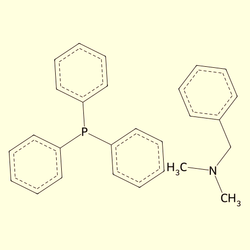 CN(C)Cc1ccccc1.c1ccc(P(c2ccccc2)c2ccccc2)cc1